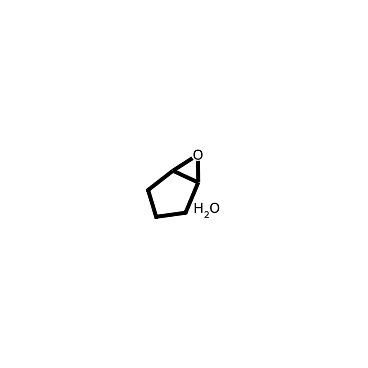 C1CC2OC2C1.O